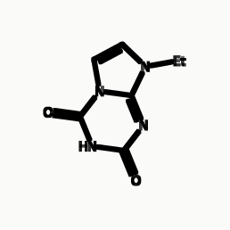 CCn1ccn2c(=O)[nH]c(=O)nc12